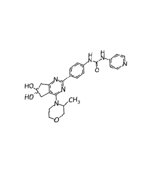 CC1COCCN1c1nc(-c2ccc(NC(=O)Nc3ccncc3)cc2)nc2c1CS(O)(O)C2